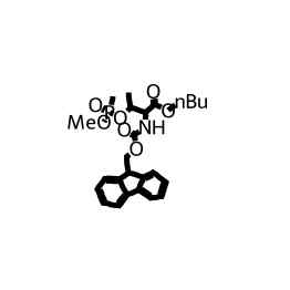 CCCCOC(=O)C(NC(=O)OCC1c2ccccc2-c2ccccc21)C(C)OP(C)(=O)OC